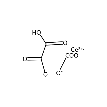 O=C([O-])C(=O)O.O=C([O-])[O-].[Ce+3]